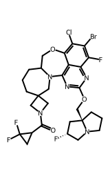 O=C(C1CC1(F)F)N1CC2(CCCC3COc4c(Cl)c(Br)c(F)c5nc(OC[C@@]67CCCN6C[C@H](F)C7)nc(c45)N3C2)C1